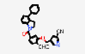 N#Cc1cncc(COc2cc(C(=O)N3CCc4c(-c5ccccc5)cccc43)ccc2C=O)c1